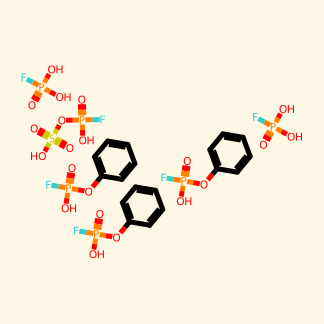 O=P(O)(F)OS(=O)(=O)O.O=P(O)(F)Oc1ccccc1.O=P(O)(F)Oc1ccccc1.O=P(O)(F)Oc1ccccc1.O=P(O)(O)F.O=P(O)(O)F